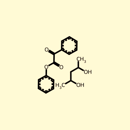 CC(O)CC(C)O.O=C(Oc1ccccc1)C(=O)c1ccccc1